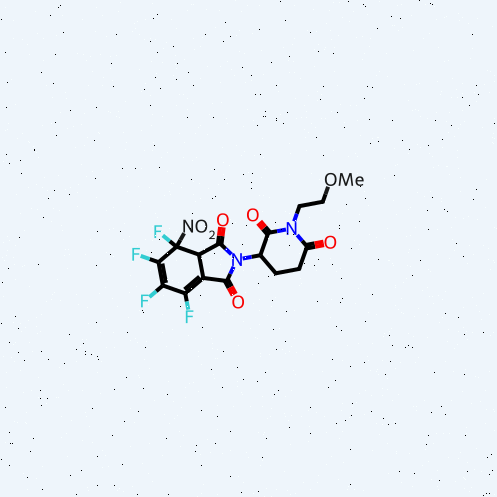 COCCN1C(=O)CCC(N2C(=O)C3=C(F)C(F)=C(F)C(F)([N+](=O)[O-])C3C2=O)C1=O